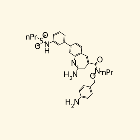 CCCN(OCc1ccc(N)cc1)C(=O)C1=Cc2ccc(-c3cccc(NS(=O)(=O)CCC)c3)cc2N=C(N)C1